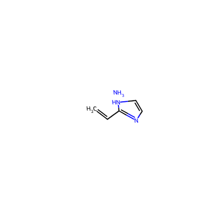 C=Cc1ncc[nH]1.N